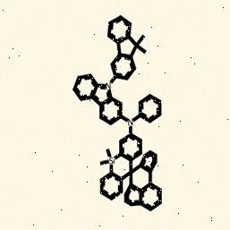 CC1(C)c2ccccc2-c2cc(-n3c4ccccc4c4ccc(N(c5ccccc5)c5ccc6c(c5)[Si](C)(C)c5ccccc5C65c6ccccc6-c6cccc7cccc5c67)cc43)ccc21